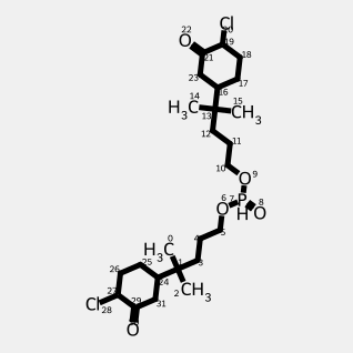 CC(C)(CCCO[PH](=O)OCCCC(C)(C)C1CCC(Cl)C(=O)C1)C1CCC(Cl)C(=O)C1